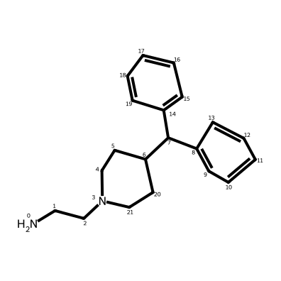 NCCN1CCC(C(c2ccccc2)c2ccccc2)CC1